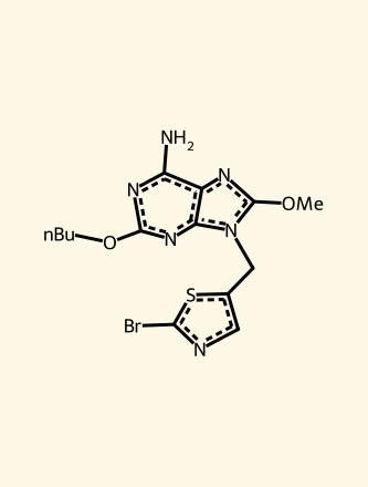 CCCCOc1nc(N)c2nc(OC)n(Cc3cnc(Br)s3)c2n1